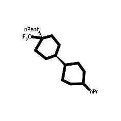 CCCCC[C@]1(C(F)(F)F)CC[C@@H](C2CCC(CCC)CC2)CC1